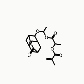 C=C(C)C(=O)OC(C)C(=O)OC(C)OC1C2CC3CC(C2)C(=O)OC1C3